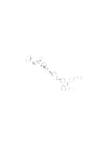 CC/C(=C(\c1ccc(O)cc1)c1ccc(N2CCC(CN[C@H]3CCN(c4ccc5c(n4)CN(C4CCC(=O)NC4=O)C5=O)C3)CC2)cc1)c1ccccc1